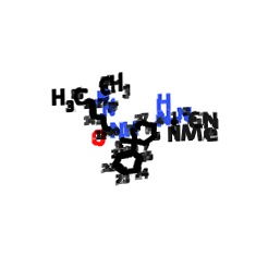 CN/C(=N\C#N)NC1CCC(CNC(=O)c2cc(C)n(C)n2)(c2ccccc2)CC1